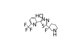 Cl.FC(F)(F)c1cccc(-c2nnc(C3(F)CCCNC3)s2)n1